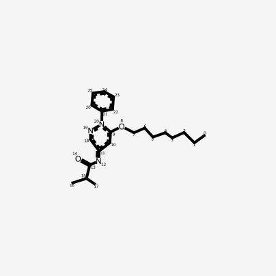 CCCCCCCCOc1cc(=NC(=O)C(C)C)cnn1-c1ccccc1